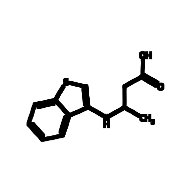 CC(CC(=O)O)Nc1csc2ccccc12